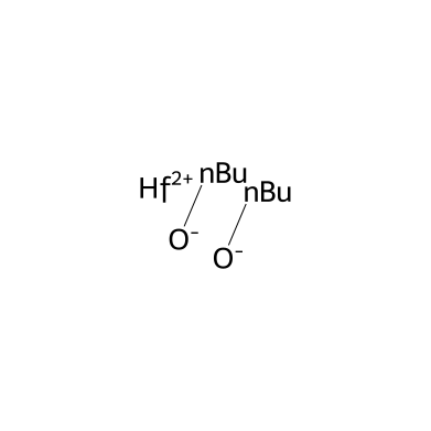 CCCC[O-].CCCC[O-].[Hf+2]